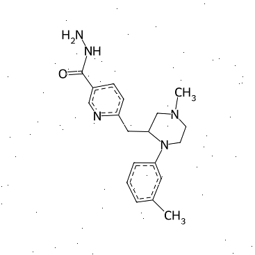 Cc1cccc(N2CCN(C)CC2Cc2ccc(C(=O)NN)cn2)c1